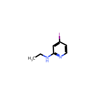 CCNc1cc(I)ccn1